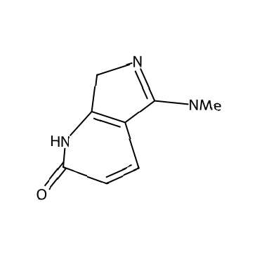 CNC1=NCc2[nH]c(=O)ccc21